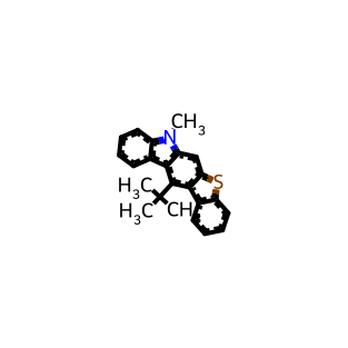 Cn1c2ccccc2c2c(C(C)(C)C)c3c(cc21)sc1ccccc13